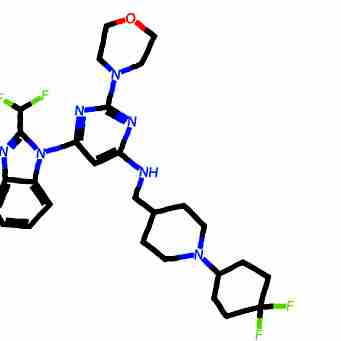 FC(F)c1nc2ccccc2n1-c1cc(NCC2CCN(C3CCC(F)(F)CC3)CC2)nc(N2CCOCC2)n1